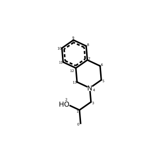 CC(O)CN1CCc2c[c]ccc2C1